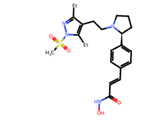 CCc1nn(S(C)(=O)=O)c(CC)c1CCN1CCC[C@H]1c1ccc(/C=C/C(=O)NO)cc1